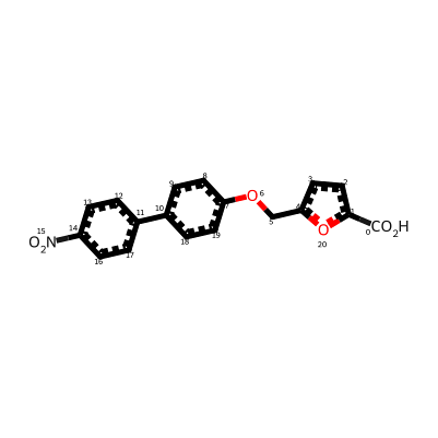 O=C(O)c1ccc(COc2ccc(-c3ccc([N+](=O)[O-])cc3)cc2)o1